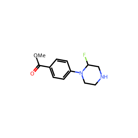 COC(=O)c1ccc(N2CCNCC2F)cc1